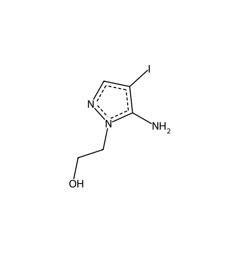 Nc1c(I)cnn1CCO